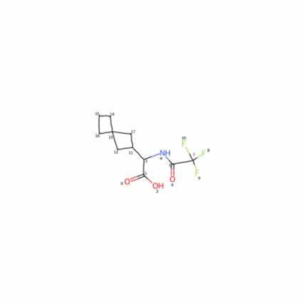 O=C(O)C(NC(=O)C(F)(F)F)C1CC2(CCC2)C1